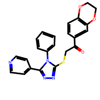 O=C(CSc1nnc(-c2ccncc2)n1-c1ccccc1)c1ccc2c(c1)OCCO2